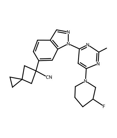 Cc1nc(N2CCCC(F)C2)cc(-n2ncc3ccc(C4(C#N)CC5(CC5)C4)cc32)n1